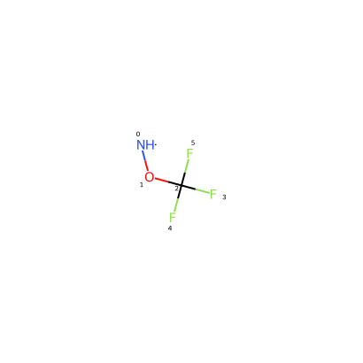 [NH]OC(F)(F)F